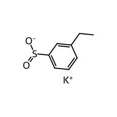 CCc1cccc(S(=O)[O-])c1.[K+]